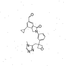 Cn1cnnc1CC1(c2cccc(N3Cc4c(cc(C=O)cc4C4CC4)C3=O)c2)COC1